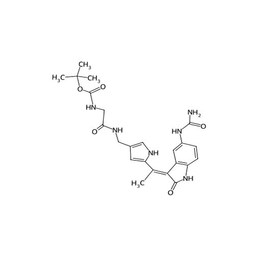 CC(=C1C(=O)Nc2ccc(NC(N)=O)cc21)c1cc(CNC(=O)CNC(=O)OC(C)(C)C)c[nH]1